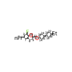 CCCc1cc(F)c2c(c1)CCC(COC1CCC(C3CCC(CC)CC3)CC1)O2